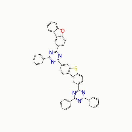 c1ccc(-c2nc(-c3ccc4c(c3)sc3ccc(-c5nc(-c6ccccc6)nc(-c6ccccc6)n5)cc34)nc(-c3ccc4oc5ccccc5c4c3)n2)cc1